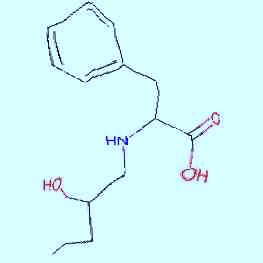 CCC(O)CNC(Cc1ccccc1)C(=O)O